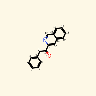 O=C(Cc1ccccc1)c1cc2ccccc2cn1